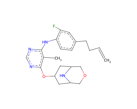 C=CCCc1ccc(Nc2ncnc(OC3CC4COCC(C3)N4)c2C)c(F)c1